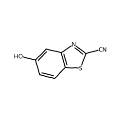 N#Cc1nc2cc(O)ccc2s1